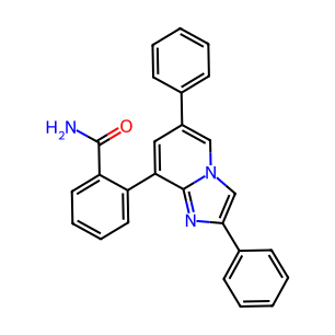 NC(=O)c1ccccc1-c1cc(-c2ccccc2)cn2cc(-c3ccccc3)nc12